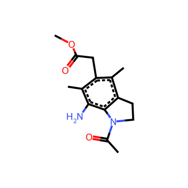 COC(=O)Cc1c(C)c(N)c2c(c1C)CCN2C(C)=O